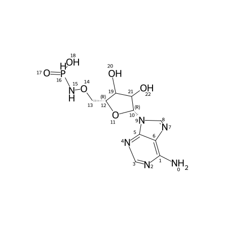 Nc1ncnc2c1ncn2[C@@H]1O[C@H](CON[PH](=O)O)C(O)C1O